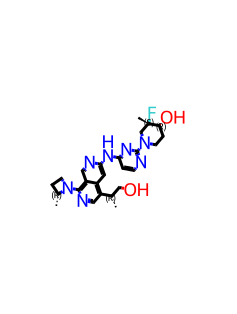 C[C@@H]1CCN1c1ncc([C@@H](C)CO)c2cc(Nc3ccnc(N4CC[C@@H](O)[C@@](C)(F)C4)n3)ncc12